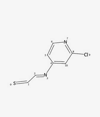 S=CC=Nc1ccnc(Cl)c1